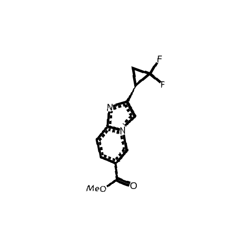 COC(=O)c1ccc2nc([C@H]3CC3(F)F)cn2c1